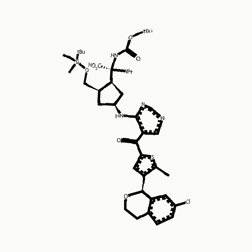 Cc1sc(C(=O)c2cncnc2N[C@H]2C[C@@H](CO[Si](C)(C)C(C)(C)C)[C@@H]([C@](NC(=O)OC(C)(C)C)(C(=O)O)C(C)C)C2)cc1[C@@H]1OCCc2ccc(Cl)cc21